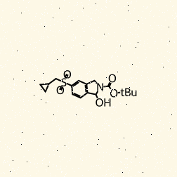 CC(C)(C)OC(=O)N1Cc2cc(S(=O)(=O)CC3CC3)ccc2C1O